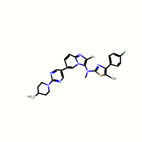 CCc1nc2ccc(-c3cnc(N4CCC(C(=O)O)CC4)nc3)cn2c1N(C)c1nc(-c2ccc(F)cc2)c(C#N)s1